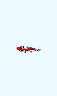 COCCOCCNC(=O)c1ccc(C(=O)NCCNCCNC(=O)c2cc(C)n(Cc3ccccc3)c(=O)c2O)c(O)c1O